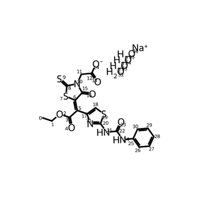 CCOC(=O)/C(=C1\SC(=S)N(CC(=O)[O-])C1=O)c1csc(NC(=O)Nc2ccccc2)n1.O.O.O.O.[Na+]